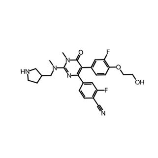 CN(CC1CCNC1)c1nc(-c2ccc(C#N)c(F)c2)c(-c2ccc(OCCO)c(F)c2)c(=O)n1C